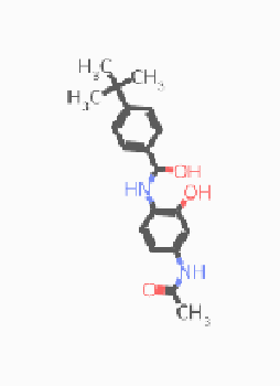 CC(=O)Nc1ccc(NC(O)c2ccc(C(C)(C)C)cc2)c(O)c1